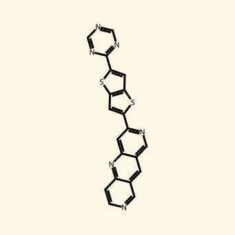 c1cc2nc3cc(-c4cc5sc(-c6ncncn6)cc5s4)ncc3cc2cn1